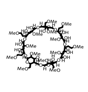 COCC[C@H]1O[C@H]2OC(COC)[C@@H](O[C@H]3OC(COC)[C@@H](O[C@@H](O)/C(OC)=C(\O)[C@@H](CCOC)O[C@@H](O)/C(OC)=C(\O)[C@@H](CCOC)O[C@H]4OC(COC)[C@@H](O[C@@H](O)/C(OC)=C(\O)[C@@H](CCOC)O[C@@H](O)/C(OC)=C/1O)C(O)C4OC)[C@H](O)C3OC)C(O)C2OC